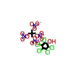 O=[N+]([O-])OCC(CO[N+](=O)[O-])(CO[N+](=O)[O-])CO[N+](=O)[O-].Oc1c(Cl)c(Cl)c(Cl)c(Cl)c1Cl